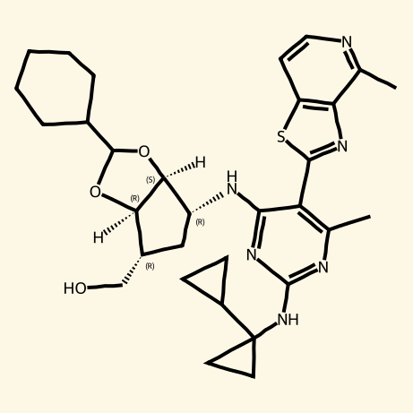 Cc1nc(NC2(C3CC3)CC2)nc(N[C@@H]2C[C@H](CO)[C@H]3OC(C4CCCCC4)O[C@H]32)c1-c1nc2c(C)nccc2s1